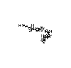 O=C(CCCCCO)NCc1ccc(-c2cnc(C3CN(C(=O)c4ccc(NC(=O)[C@@H]5CCCN5)s4)C3)s2)cc1